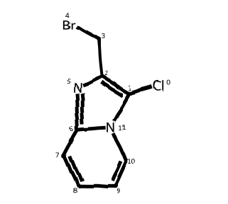 Clc1c(CBr)nc2ccccn12